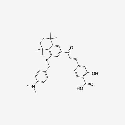 CN(C)c1ccc(CSc2cc(C(=O)C=Cc3ccc(C(=O)O)c(O)c3)cc3c2C(C)(C)CCC3(C)C)cc1